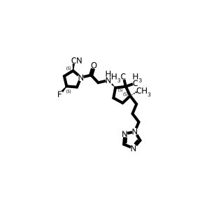 CC1(C)[C@@H](NCC(=O)N2C[C@@H](F)C[C@H]2C#N)CC[C@]1(C)CCCn1cncn1